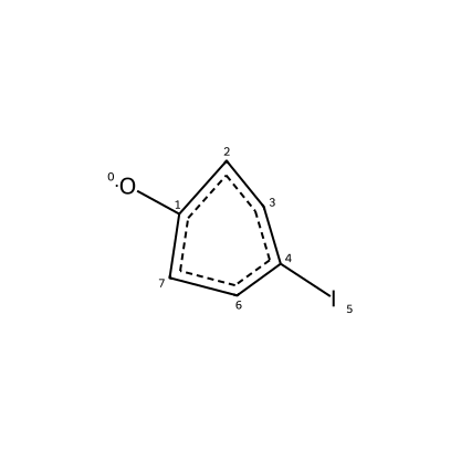 [O]c1ccc(I)cc1